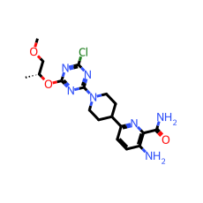 COC[C@@H](C)Oc1nc(Cl)nc(N2CCC(c3ccc(N)c(C(N)=O)n3)CC2)n1